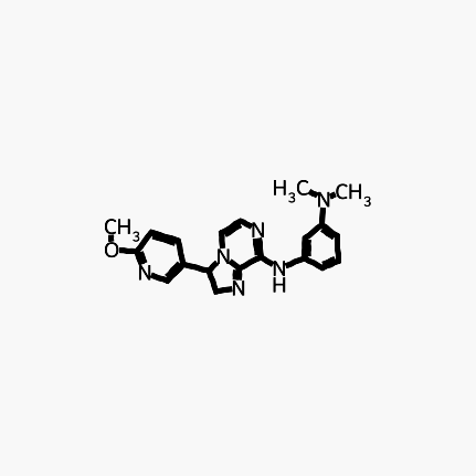 COc1ccc(C2CN=C3C(Nc4cccc(N(C)C)c4)=NC=CN32)cn1